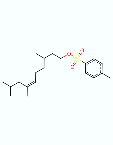 CC(=CCCC(C)CCOS(=O)(=O)c1ccc(C)cc1)CC(C)C